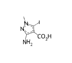 Cn1nc(N)c(C(=O)O)c1I